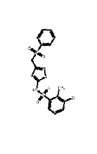 Cc1c(Cl)cccc1S(=O)(=O)Nc1nc(CS(=O)(=O)c2ccccc2)ns1